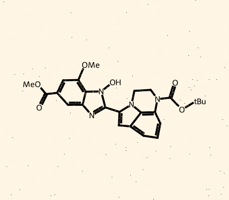 COC(=O)c1cc(OC)c2c(c1)nc(-c1cc3cccc4c3n1CCN4C(=O)OC(C)(C)C)n2O